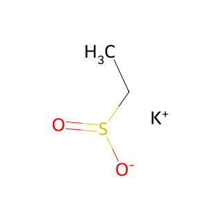 CCS(=O)[O-].[K+]